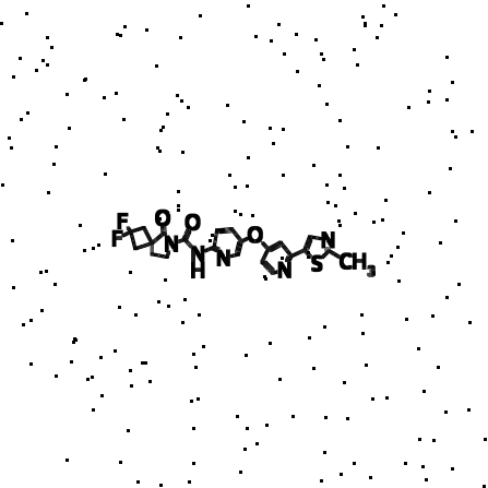 Cc1ncc(-c2cc(Oc3ccc(NC(=O)N4CCC5(CC(F)(F)C5)C4=O)nc3)ccn2)s1